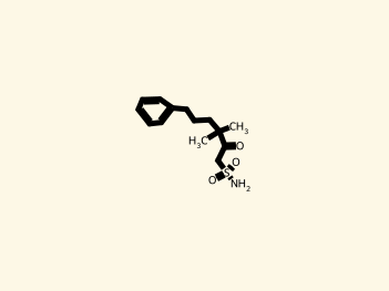 CC(C)(CCCc1ccccc1)C(=O)CS(N)(=O)=O